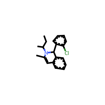 CCC(C)N1C(C)=Cc2ccccc2C1c1ccccc1Cl